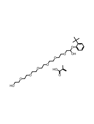 C=C(C)C(=O)O.CC(C)(C)c1ccccc1OC(O)COCCOCCOCCOCCOCCOCCO